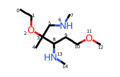 CCOC(C)(CNC)C(CCOC)NC